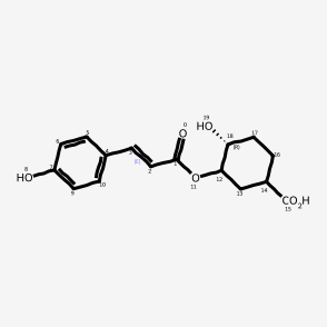 O=C(/C=C/c1ccc(O)cc1)OC1CC(C(=O)O)CC[C@H]1O